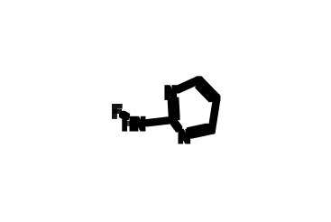 FNc1ncccn1